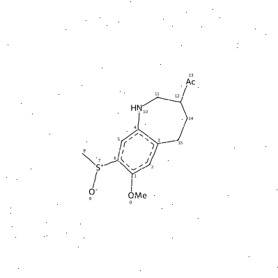 COc1cc2c(cc1[S+](C)[O-])NCC(C(C)=O)CC2